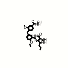 CCCC1NNc2c1nc(-c1cc(Cc3ccc(C(=O)NO)cc3OC)ccc1OCC)[nH]c2=O